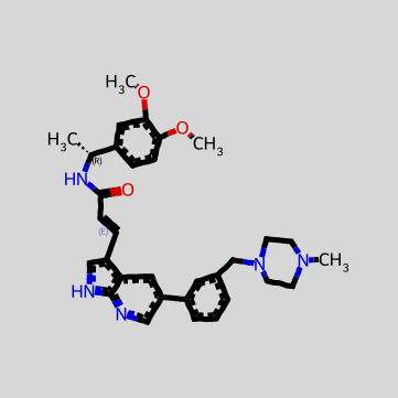 COc1ccc([C@@H](C)NC(=O)/C=C/c2c[nH]c3ncc(-c4cccc(CN5CCN(C)CC5)c4)cc23)cc1OC